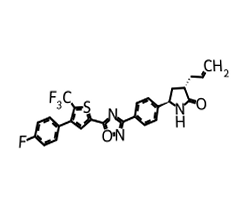 C=CC[C@H]1C[C@H](c2ccc(-c3noc(-c4cc(-c5ccc(F)cc5)c(C(F)(F)F)s4)n3)cc2)NC1=O